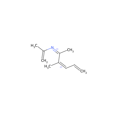 C=C/C=C(C)\C(C)=N/C(=C)C